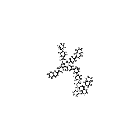 c1ccc(-c2c3ccccc3c(-c3ccc4ccccc4c3)c3cc(-c4ccc(-c5cncc(-c6ccc7c(-c8ccc(-c9ccc%10ccccc%10c9)cc8)c8ccc(-c9ccc(-c%10ccccn%10)cc9)cc8c(-c8ccc(-c9ccc%10ccccc%10c9)cc8)c7c6)c5)cc4)ccc23)cc1